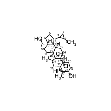 CC1CC1[C@@H]1CC[C@]2(CO)CC[C@]3(C)[C@H](CC[C@@H]4[C@@]5(C)CC[C@H](O)[C@@]6(C)P[C@@]56CC[C@]43C)[C@@H]12